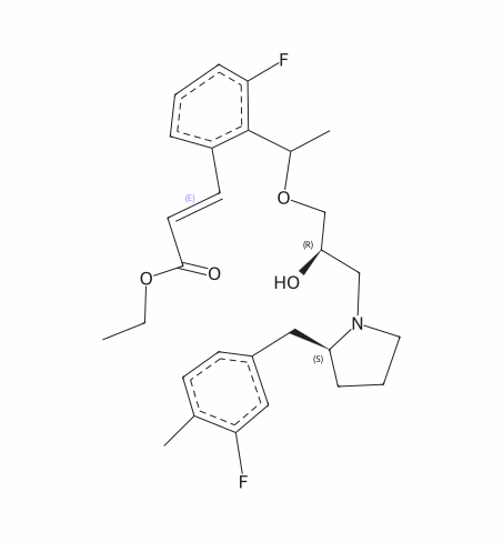 CCOC(=O)/C=C/c1cccc(F)c1C(C)OC[C@H](O)CN1CCC[C@H]1Cc1ccc(C)c(F)c1